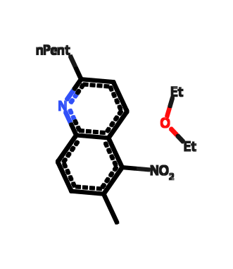 CCCCCc1ccc2c([N+](=O)[O-])c(C)ccc2n1.CCOCC